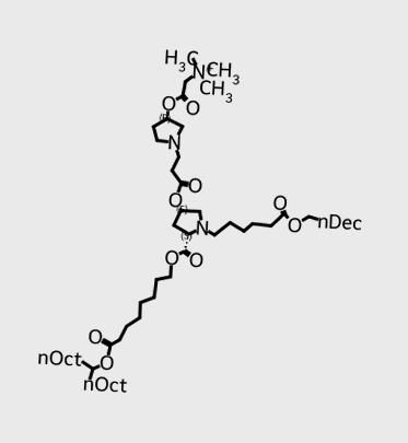 CCCCCCCCCCCOC(=O)CCCCCN1C[C@@H](OC(=O)CCN2CC[C@@H](OC(=O)C[N+](C)(C)C)C2)C[C@H]1C(=O)OCCCCCCCC(=O)OC(CCCCCCCC)CCCCCCCC